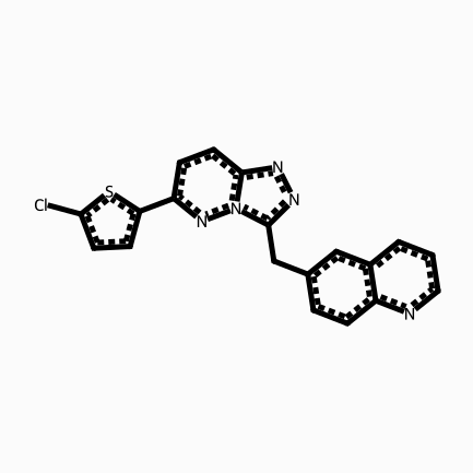 Clc1ccc(-c2ccc3nnc(Cc4ccc5ncccc5c4)n3n2)s1